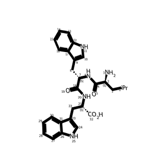 CC(C)C[C@H](N)C(=O)N[C@@H](Cc1c[nH]c2ccccc12)C(=O)N[C@@H](Cc1c[nH]c2ccccc12)C(=O)O